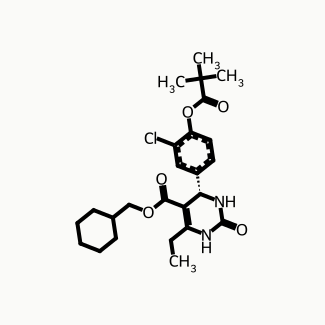 CCC1=C(C(=O)OCC2CCCCC2)[C@H](c2ccc(OC(=O)C(C)(C)C)c(Cl)c2)NC(=O)N1